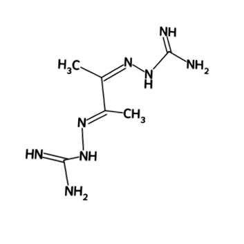 CC(=NNC(=N)N)C(C)=NNC(=N)N